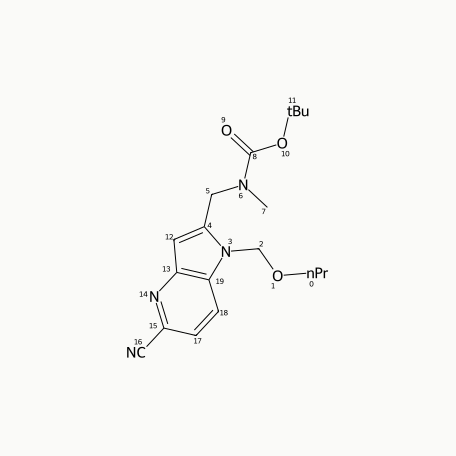 CCCOCn1c(CN(C)C(=O)OC(C)(C)C)cc2nc(C#N)ccc21